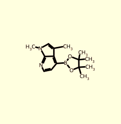 Cc1cn(C)c2nccc(B3OC(C)(C)C(C)(C)O3)c12